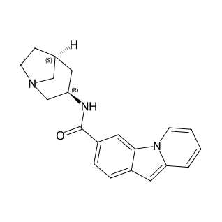 O=C(N[C@@H]1C[C@@H]2CCN(C2)C1)c1ccc2cc3ccccn3c2c1